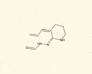 C=C/C=C1/CCCN/C1=N/NC=O